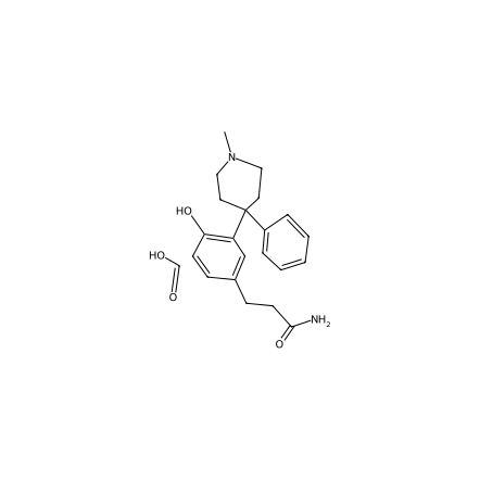 CN1CCC(c2ccccc2)(c2cc(CCC(N)=O)ccc2O)CC1.O=CO